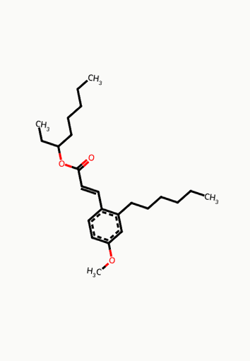 CCCCCCc1cc(OC)ccc1C=CC(=O)OC(CC)CCCCC